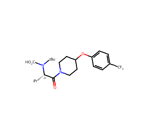 CC(C)[C@@H](C(=O)N1CCC(Oc2ccc(C(F)(F)F)cc2)CC1)N(C(=O)O)C(C)(C)C